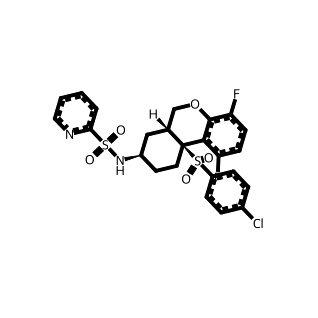 O=S(=O)(N[C@@H]1CC[C@@]2(S(=O)(=O)c3ccc(Cl)cc3)c3c(F)ccc(F)c3OC[C@H]2C1)c1ccccn1